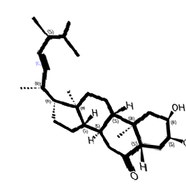 CC(C)[C@H](C)/C=C/[C@@H](C)[C@H]1CC[C@H]2[C@@H]3CC(=O)[C@H]4C[C@H](O)[C@H](O)C[C@]4(C)[C@H]3CC[C@]12C